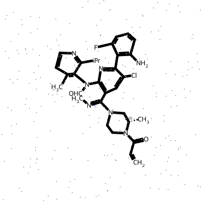 C=CC(=O)N1CCN(/C(=N/C)c2cc(Cl)c(-c3c(N)cccc3F)nc2N(C=O)c2c(C)ccnc2C(C)C)C[C@@H]1C